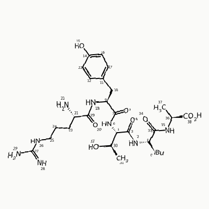 CC[C@H](C)[C@H](NC(=O)[C@@H](NC(=O)[C@H](Cc1ccc(O)cc1)NC(=O)[C@@H](N)CCCNC(=N)N)[C@@H](C)O)C(=O)N[C@@H](C)C(=O)O